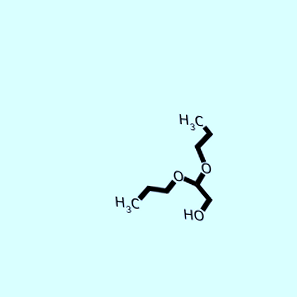 CCCOC(CO)OCCC